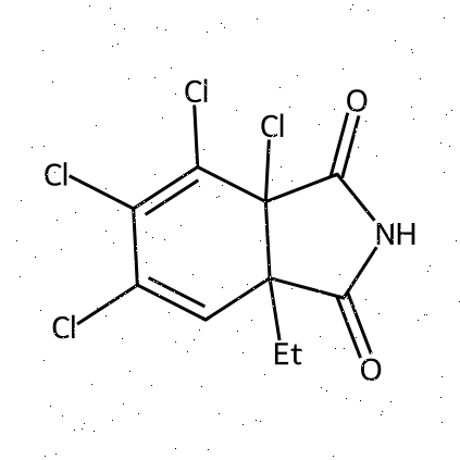 CCC12C=C(Cl)C(Cl)=C(Cl)C1(Cl)C(=O)NC2=O